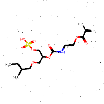 C=C(C)C(=O)OCCNC(=O)OC(COCC(C)CC)COS(=O)(=O)O